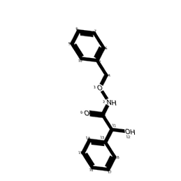 O=C(NOCc1ccccc1)C(O)c1ccccc1